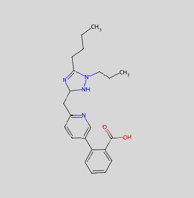 CCCCC1=NC(Cc2ccc(-c3ccccc3C(=O)O)cn2)NN1CCC